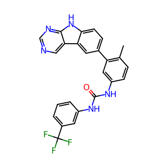 Cc1ccc(NC(=O)Nc2cccc(C(F)(F)F)c2)cc1-c1ccc2[nH]c3ncncc3c2c1